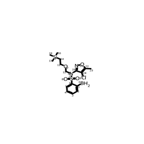 Bc1ccccc1S(=O)(=O)N(COCC[Si](C)(C)C)c1noc(C)c1Cl